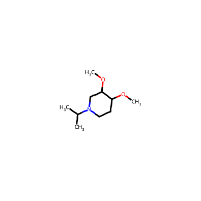 COC1CCN(C(C)C)CC1OC